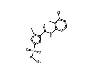 Cn1cc(S(=O)(=O)NC(C)(C)C)cc1C(=O)Nc1cccc(Cl)c1F